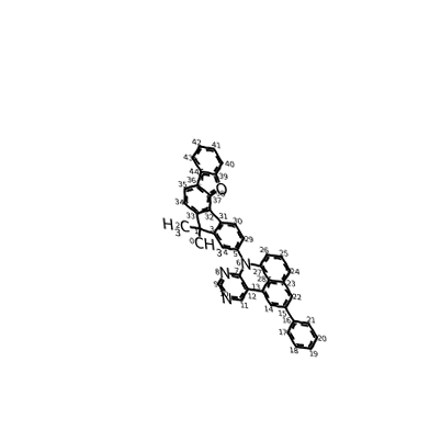 CC1(C)c2cc(N3c4ncncc4-c4cc(-c5ccccc5)cc5cccc3c45)ccc2-c2c1ccc1c2oc2ccccc21